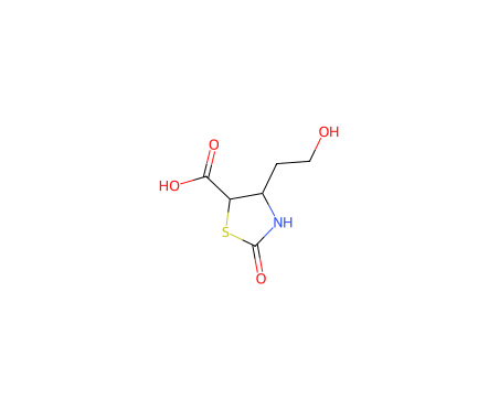 O=C1NC(CCO)C(C(=O)O)S1